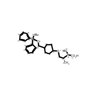 C[C@H](COC1CCC(CO[Si](c2ccccc2)(c2ccccc2)C(C)(C)C)CC1)N(C(=O)O)C(C)(C)C